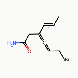 C/C=C/C(=C=CCC(C)CC)CC(N)=O